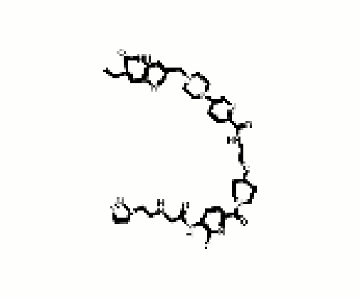 CCc1cc2ncc(CN3CCN(c4ccc(C(=O)NCCOC5CCN(C(=O)c6ccc(NC(=O)CNCCn7ccnn7)c(Cl)n6)CC5)nc4)CC3)cc2[nH]c1=O